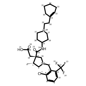 C[C@H]1CN(Cc2c(Cl)cccc2C(F)(F)F)C[C@@]1(CC(=O)O)C(=O)NC1CCN(CCC2=CCCCC2)CC1